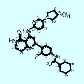 O=C(Nc1ccc(-c2cc(Nc3ccc(N4CC[C@H](O)C4)cn3)c3c(=O)[nH]ccc3n2)c(F)c1)C1CCCCC1